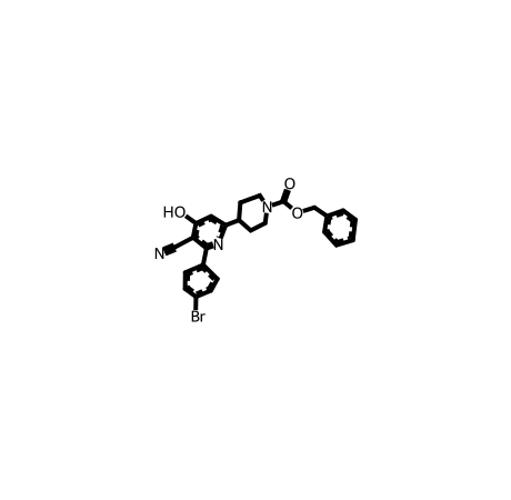 N#Cc1c(O)cc(C2CCN(C(=O)OCc3ccccc3)CC2)nc1-c1ccc(Br)cc1